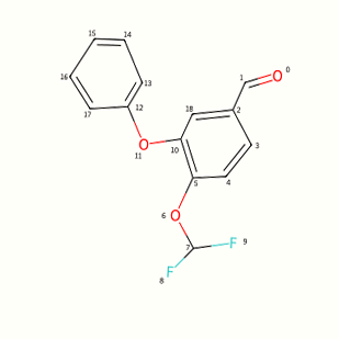 O=Cc1ccc(OC(F)F)c(Oc2ccccc2)c1